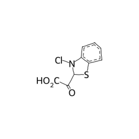 O=C(O)C(=O)C1Sc2ccccc2N1Cl